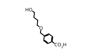 O=C(O)c1ccc(COCCCCO)cc1